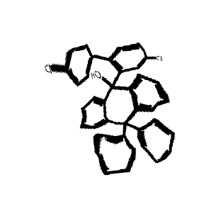 OC1(c2cc(Cl)ccc2-c2ccc(Cl)cc2)c2ccccc2C(C2=CC=CCC2)(c2ccccc2)c2ccccc21